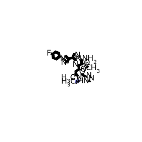 C/C=C\N(C(=O)c1nnc[nH]1)[C@H](C)CCc1nc2c(-c3cnn(-c4ccc(F)cc4)c3)cnn2c(N)c1S(C)(=O)=O